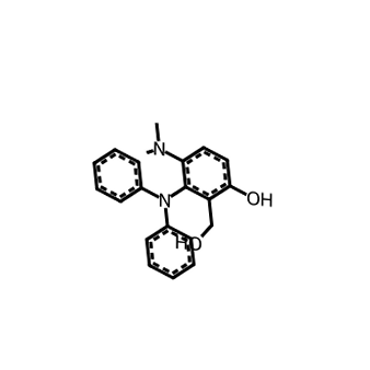 CN(C)c1ccc(O)c(CO)c1N(c1ccccc1)c1ccccc1